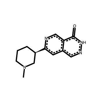 CN1CCC[C@@H](c2cc3cn[nH]c(=O)c3cn2)C1